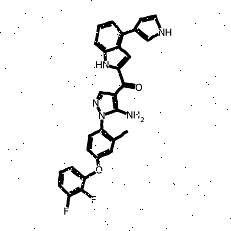 Cc1cc(Oc2cccc(F)c2F)ccc1-n1ncc(C(=O)c2cc3c(-c4cc[nH]c4)cccc3[nH]2)c1N